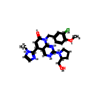 COc1ccc(Cn2c(=O)cc(-c3nccn3C)c3cnc(N4CCCC4CO)nc32)cc1Cl